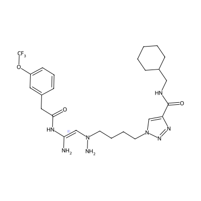 N/C(=C\N(N)CCCCn1cc(C(=O)NCC2CCCCC2)nn1)NC(=O)Cc1cccc(OC(F)(F)F)c1